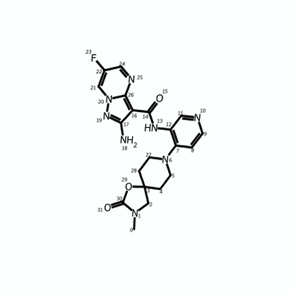 CN1CC2(CCN(c3ccncc3NC(=O)c3c(N)nn4cc(F)cnc34)CC2)OC1=O